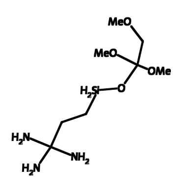 COCC(OC)(OC)O[SiH2]CCC(N)(N)N